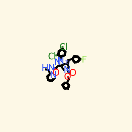 CC(NC(=O)c1nn(-c2ccc(Cl)cc2Cl)c2c1CN(C(=O)OCc1ccccc1)C/C2=C\c1ccc(F)cc1)c1ccccn1